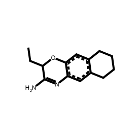 CCC1Oc2cc3c(cc2N=C1N)CCCC3